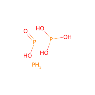 O=PO.OP(O)O.P